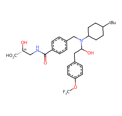 CC(C)(C)C1CCC(N(Cc2ccc(C(=O)NC[C@@H](O)C(=O)O)cc2)C(O)Cc2ccc(OC(F)(F)F)cc2)CC1